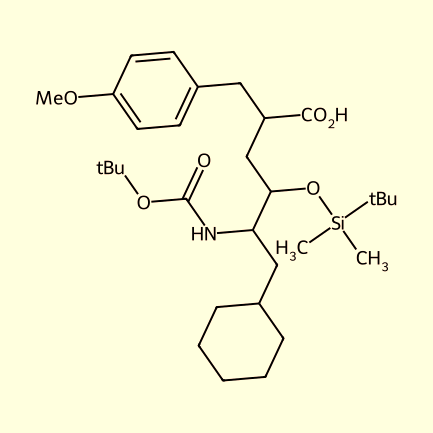 COc1ccc(CC(CC(O[Si](C)(C)C(C)(C)C)C(CC2CCCCC2)NC(=O)OC(C)(C)C)C(=O)O)cc1